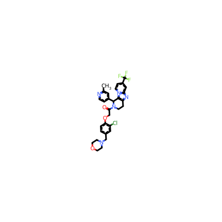 Cc1cc(C2c3c(nc4cc(C(F)(F)F)ccn34)CCN2C(=O)COc2ccc(CN3CCOCC3)cc2Cl)ccn1